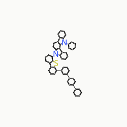 c1ccc(-c2ccc(-c3cccc(-c4cccc5c4sc4c(-n6c7ccccc7c7c6ccc6c8ccccc8n(-c8ccccc8)c67)cccc45)c3)cc2)cc1